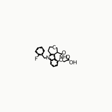 NC(=O)C1CCCCc2c1c1c(OCC(=O)O)cccc1n2Cc1ccccc1F